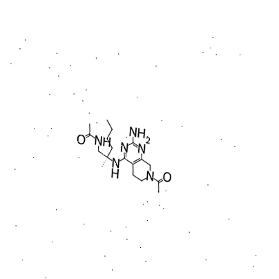 CCCC[C@](C)(CNC(C)=O)Nc1nc(N)nc2c1CCN(C(C)=O)C2